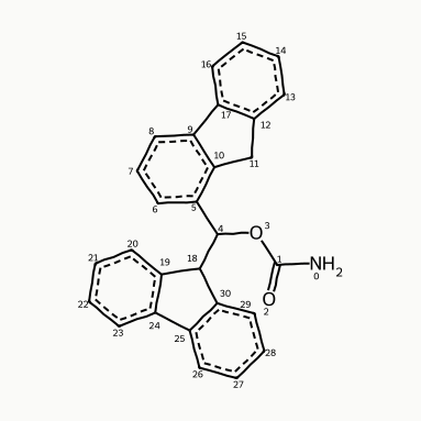 NC(=O)OC(c1cccc2c1Cc1ccccc1-2)C1c2ccccc2-c2ccccc21